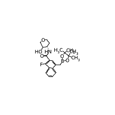 CC1(C)OB(Cc2cc(C(=O)N[C@H]3CCOC[C@@H]3O)c(F)c3ccccc23)OC1(C)C